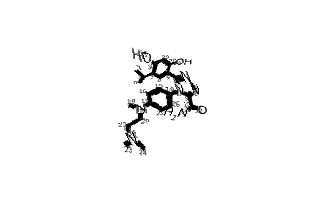 CC(C)c1cc(-c2nnc(C(N)=O)n2-c2ccc(N(C)CCN(C)C)cc2)c(O)cc1O